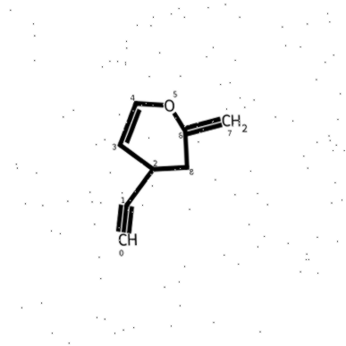 C#CC1C=COC(=C)C1